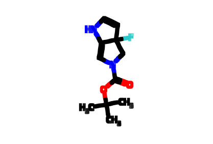 CC(C)(C)OC(=O)N1C=C2NC=CC2(F)C1